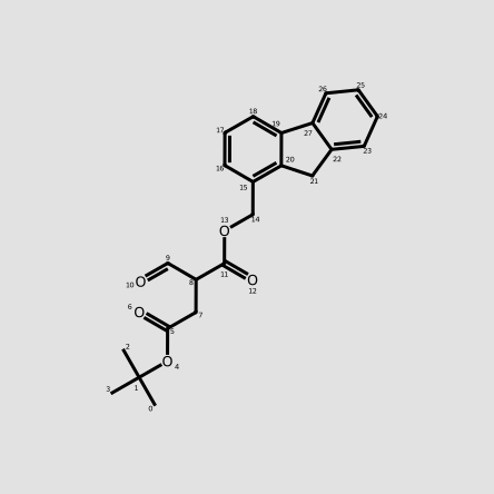 CC(C)(C)OC(=O)CC(C=O)C(=O)OCc1cccc2c1Cc1ccccc1-2